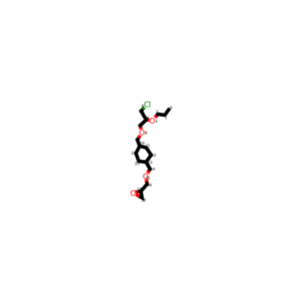 CCCOC(CCl)COCC1CCC(COCC2CO2)CC1